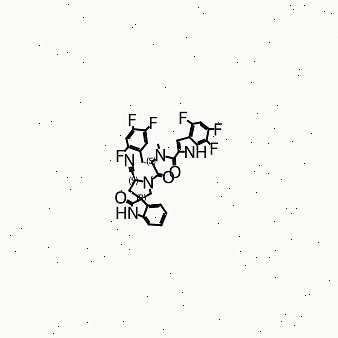 CN(C(=O)c1cc2c(F)cc(F)c(F)c2[nH]1)[C@@H](Cc1cc(F)c(F)cc1F)C(=O)N1C[C@]2(C[C@H]1C#N)C(=O)Nc1ccccc12